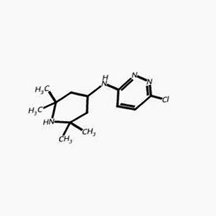 CC1(C)CC(Nc2ccc(Cl)nn2)CC(C)(C)N1